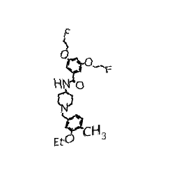 CCOc1cc(CN2CCC(NC(=O)c3cc(OCCF)cc(OCCF)c3)CC2)ccc1C